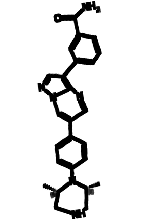 C[C@@H]1CNC[C@H](C)N1c1ccc(-c2cnc3c(-c4cccc(C(N)=O)c4)cnn3c2)cc1